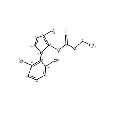 CCOC(=O)Oc1c(Br)cnn1-c1c(Cl)cccc1Cl